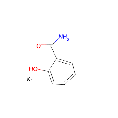 NC(=O)c1ccccc1O.[K]